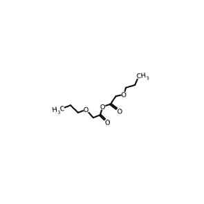 CCCOCC(=O)OC(=O)COCCC